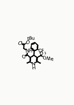 COC(=O)C1=C(C)NC(C)=C(C(=O)NCC(=O)OC(C)(C)C)C1c1ccccc1C(F)(F)F